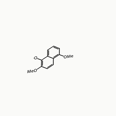 COc1ccc2c(OC)cccc2c1[O]